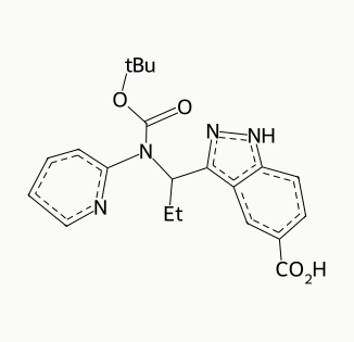 CCC(c1n[nH]c2ccc(C(=O)O)cc12)N(C(=O)OC(C)(C)C)c1ccccn1